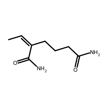 CC=C(CCCC(N)=O)C(N)=O